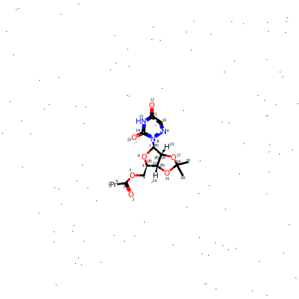 CC(C)C(=O)OC[C@H]1O[C@@H](n2ncc(=O)[nH]c2=O)[C@@H]2OC(C)(C)O[C@@H]21